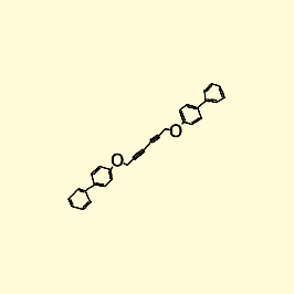 C(C#CCOc1ccc(-c2ccccc2)cc1)#CCOc1ccc(-c2ccccc2)cc1